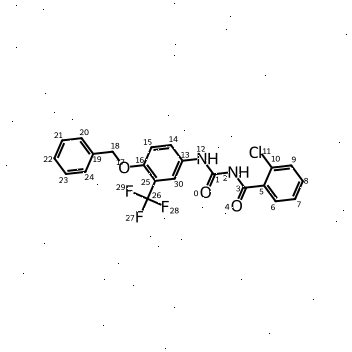 O=C(NC(=O)c1ccccc1Cl)Nc1ccc(OCc2ccccc2)c(C(F)(F)F)c1